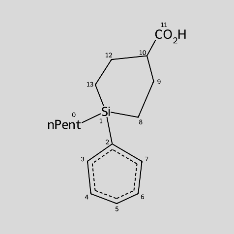 CCCCC[Si]1(c2ccccc2)CCC(C(=O)O)CC1